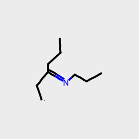 [CH2]CC(CCC)=NCCC